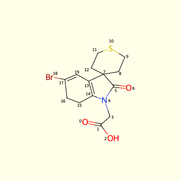 O=C(O)CN1C(=O)C2(CCSCC2)C2=C1CCC(Br)=C2